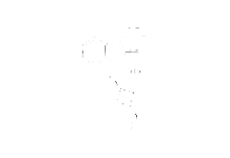 C=C[C@H]1C[C@@H](O[Si](c2ccccc2)(c2ccccc2)C(C)(C)C)C1